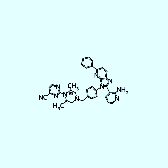 C[C@@H]1CN(Cc2ccc(-n3c(-c4cccnc4N)nc4ccc(-c5ccccc5)nc43)cc2)C[C@@H](C)N1c1nccc(C#N)n1